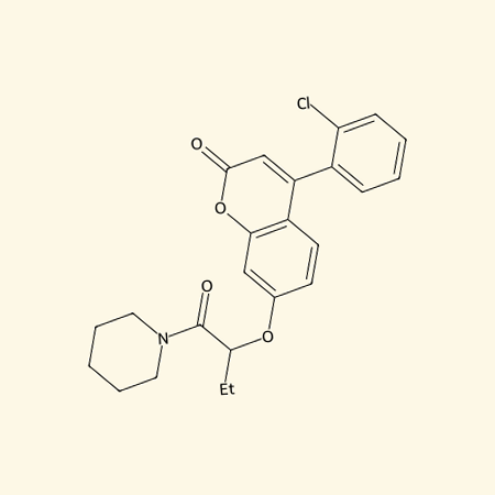 CCC(Oc1ccc2c(-c3ccccc3Cl)cc(=O)oc2c1)C(=O)N1CCCCC1